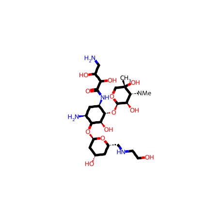 CN[C@@H]1[C@@H](O)[C@@H](O[C@H]2[C@H](NC(=O)C(O)C(O)CN)C[C@H](N)C(O[C@@H]3C[C@@H](O)C[C@@H](CNCCO)O3)[C@@H]2O)OC[C@]1(C)O